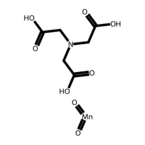 O=C(O)CN(CC(=O)O)CC(=O)O.[O]=[Mn]=[O]